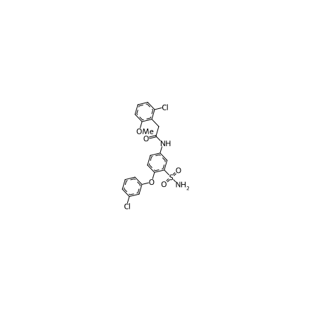 COc1cccc(Cl)c1CC(=O)Nc1ccc(Oc2cccc(Cl)c2)c(S(N)(=O)=O)c1